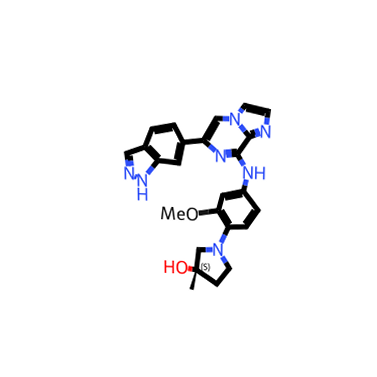 COc1cc(Nc2nc(-c3ccc4cn[nH]c4c3)cn3ccnc23)ccc1N1CC[C@](C)(O)C1